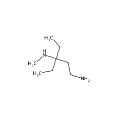 CCC(CC)(CCN)NC